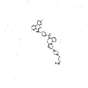 Cc1ccc(-c2ccccc2C(=O)Nc2ccc(C(=O)N3CCC(=O)N(CC(=O)N4CCN(CCCN)CC4)c4ccccc43)cc2)cc1